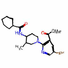 COC(=O)c1cc(Br)cnc1N1CCC(NC(=O)C2CCCCC2)C(C)C1